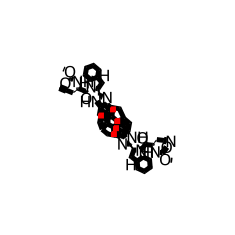 C#CC[C@H](NC(=O)OC)C(=O)N1[C@H](c2nc3cc(-c4cc5ccc4CCc4ccc(c(-c6ccc7[nH]c([C@@H]8C[C@@H]9CCCC[C@@H]9N8C(=O)[C@H](CC#N)NC(=O)OC)nc7c6)c4)CC5)ccc3[nH]2)C[C@@H]2CCCC[C@@H]21